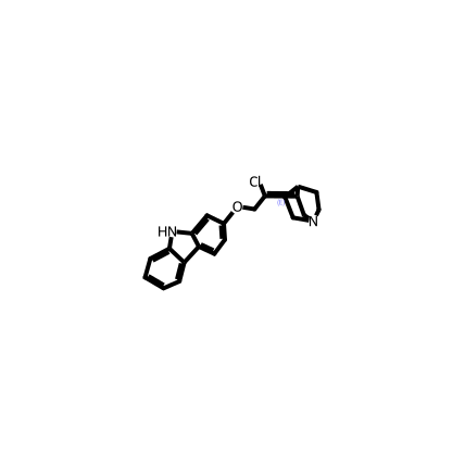 Cl/C(COc1ccc2c(c1)[nH]c1ccccc12)=C1/CN2CCC1CC2